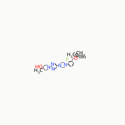 CC1(O)CCN(c2ncc(N3CCN(c4cccc(CO[Si](C)(C)C(C)(C)C)c4F)CC3)cn2)CC1